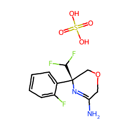 NC1=N[C@@](c2ccccc2F)(C(F)F)COC1.O=S(=O)(O)O